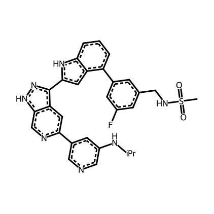 CC(C)Nc1cncc(-c2cc3c(-c4cc5c(-c6cc(F)cc(CNS(C)(=O)=O)c6)cccc5[nH]4)n[nH]c3cn2)c1